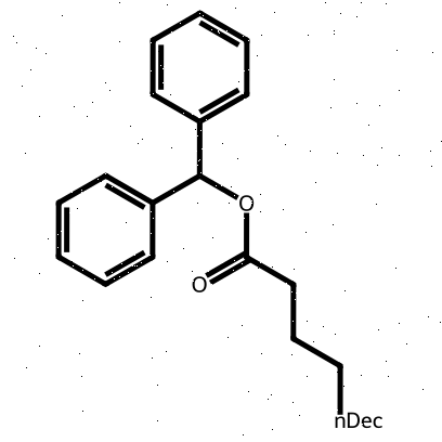 CCCCCCCCCCCCCC(=O)OC(c1ccccc1)c1ccccc1